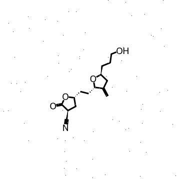 C=C1C[C@H](CCCO)O[C@H]1CC[C@@H]1C[C@@H](C#N)C(=O)O1